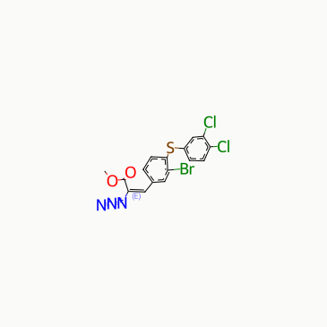 COC(=O)/C(=C\c1ccc(Sc2ccc(Cl)c(Cl)c2)c(Br)c1)N=[N+]=[N-]